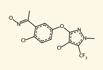 CC(=N[O])c1cc(Oc2nn(C)c(C(F)(F)F)c2Cl)ccc1Cl